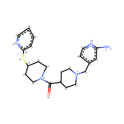 Nc1cc(CN2CCC(C(=O)N3CCC(Sc4ccccn4)CC3)CC2)ccn1